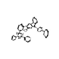 c1ccc(-c2ccc(-n3c4ccccc4c4cc5c(cc43)oc3c(-c4nc(-c6ccccc6)nc(-c6ccccc6)n4)cccc35)cc2)cc1